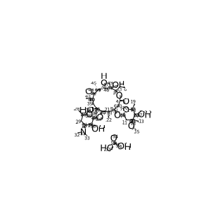 CC[C@H]1OC(=O)[C@H](C)[C@@H](O[C@H]2C[C@@](C)(OC)[C@@H](O)[C@H](C)O2)[C@@H](C)[C@@H](O[C@@H]2O[C@H](C)C[C@H](N(C)C)[C@H]2O)[C@](C)(O)C[C@@H](C)C(=O)[C@H](C)[C@H](O)[C@]1(C)O.O=C(O)O